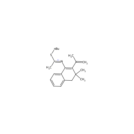 C=C(C)C1=C(/N=C(\C)SCCCC)c2ccccc2CC1(C)C